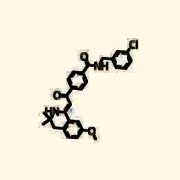 COc1ccc2c(c1)/C(=C/C(=O)c1ccc(C(=O)NCc3cccc(Cl)c3)cc1)NC(C)(C)C2